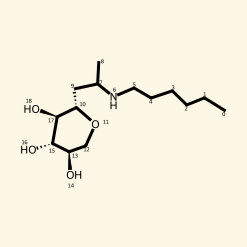 CCCCCCNC(C)C[C@@H]1OC[C@@H](O)[C@H](O)[C@H]1O